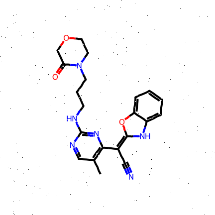 Cc1cnc(NCCCN2CCOCC2=O)nc1C(C#N)=C1Nc2ccccc2O1